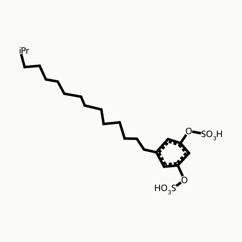 CC(C)CCCCCCCCCCCCCc1cc(OS(=O)(=O)O)cc(OS(=O)(=O)O)c1